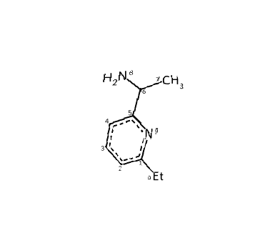 [CH2]Cc1cccc(C(C)N)n1